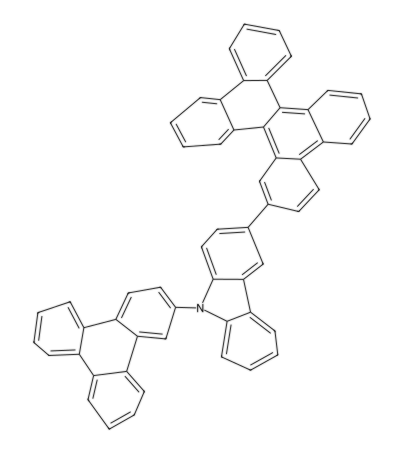 c1ccc2c(c1)c1ccccc1c1cc(-n3c4ccccc4c4cc(-c5ccc6c7ccccc7c7c8ccccc8c8ccccc8c7c6c5)ccc43)ccc21